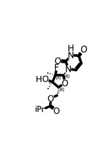 CC(C)C(=O)OC[C@H]1O[C@@H](n2ccc(=O)[nH]c2=O)[C@](C)(F)[C@]1(C)O